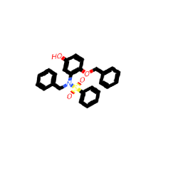 O=S(=O)(c1ccccc1)N(Cc1ccccc1)c1cc(O)ccc1OCc1ccccc1